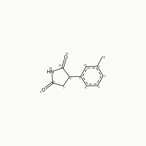 Cc1cccc(C2CC(=O)NC2=O)c1